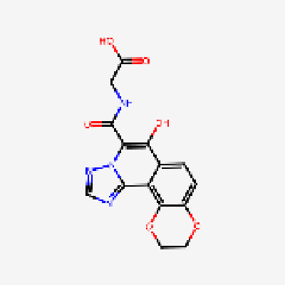 O=C(O)CNC(=O)c1c(O)c2ccc3c(c2c2ncnn12)OCCO3